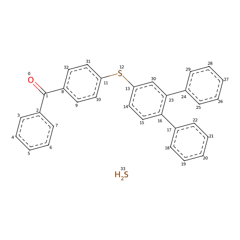 O=C(c1ccccc1)c1ccc(Sc2ccc(-c3ccccc3)c(-c3ccccc3)c2)cc1.S